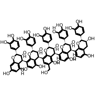 OCc1cc([C@H]2c3c(O)cc(O)c([C@H]4c5c(O)cc(O)cc5O[C@H](c5ccc(O)c(O)c5)[C@@H]4O)c3O[C@H](c3ccc(O)c(O)c3)[C@@H]2O)c2c(c1O)[C@H](c1c(O)cc(O)c3c1O[C@H](c1ccc(O)c(O)c1)[C@H](O)[C@H]3c1c(O)cc(O)c3c1O[C@H](c1ccc(O)c(O)c1)[C@H](O)C3)[C@@H](O)[C@@H](c1ccc(O)c(O)c1)O2